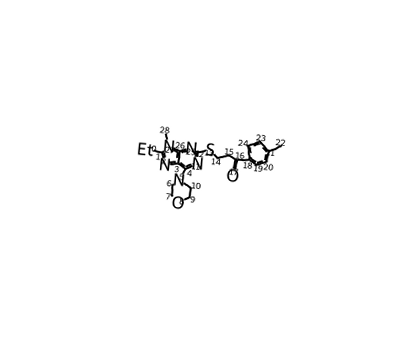 CCc1nc2c(N3CCOCC3)nc(SCCC(=O)c3ccc(C)cc3)nc2n1C